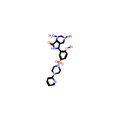 CCCN1CC2=C(C(=O)NC2c2cc(S(=O)(=O)N3CCN(c4ccccn4)CC3)ccc2OCC)N(C)C1